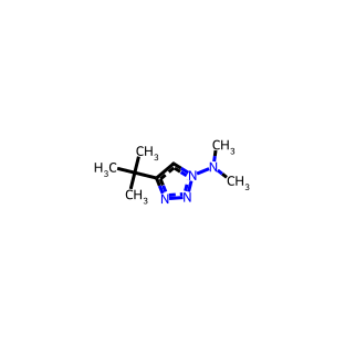 CN(C)n1cc(C(C)(C)C)nn1